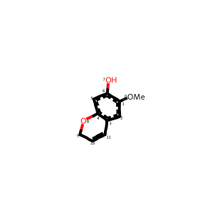 COc1cc2c(cc1O)OCC=C2